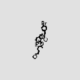 C=C(Oc1nccc2c1C(=O)N(Cc1ccc(Br)cc1)C2)/C(F)=C\C=C/COC